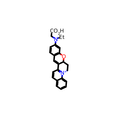 CCN(CC(=O)O)c1ccc2c(c1)OC1CC[n+]3c(ccc4ccccc43)C1=C2